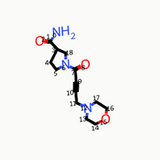 NC(=O)C1CCN(C(=O)C#CCN2CCOCC2)C1